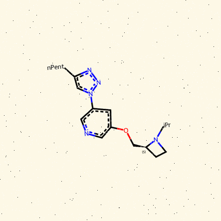 CCCCCc1cn(-c2cncc(OC[C@@H]3CCN3C(C)C)c2)nn1